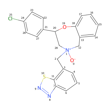 [O-][N+]1(Cc2cccc3nnsc23)Cc2ccccc2OC(c2ccc(Cl)cc2)C1